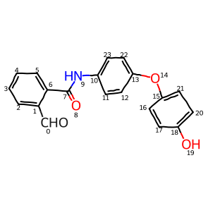 O=Cc1ccccc1C(=O)Nc1ccc(Oc2ccc(O)cc2)cc1